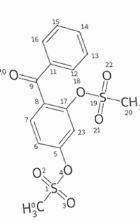 CS(=O)(=O)Oc1ccc(C(=O)c2ccccc2)c(OS(C)(=O)=O)c1